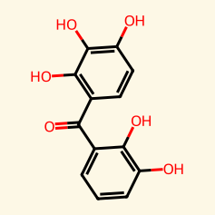 O=C(c1cccc(O)c1O)c1ccc(O)c(O)c1O